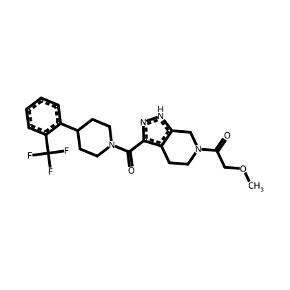 COCC(=O)N1CCc2c(C(=O)N3CCC(c4ccccc4C(F)(F)F)CC3)n[nH]c2C1